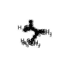 CCC(C)C(c1ccc(-c2ccc(-c3ccc4c(c3)c3cc(-c5ccc(N(c6ccc(-c7ccccc7)cc6)c6ccc7c(c6)C(C)(C)c6ccccc6-7)cc5)ccc3n4-c3ccc(OC(C)(C)C)cc3)cc2)cc1)C(C)(C)C